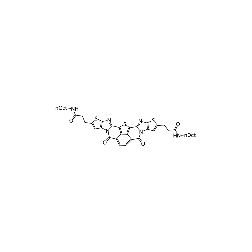 CCCCCCCCNC(=O)CCc1cc2c(nc3c4sc5c6c(ccc(c(=O)n23)c46)c(=O)n2c3cc(CCC(=O)NCCCCCCCC)sc3nc52)s1